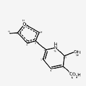 Cc1cc(C2=CC=C(C(=O)O)C(O)N2)co1